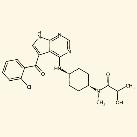 CC(O)C(=O)N(C)[C@H]1CC[C@@H](Nc2ncnc3[nH]cc(C(=O)c4ccccc4Cl)c23)CC1